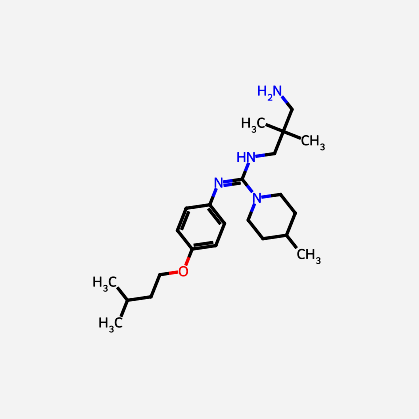 CC(C)CCOc1ccc(/N=C(/NCC(C)(C)CN)N2CCC(C)CC2)cc1